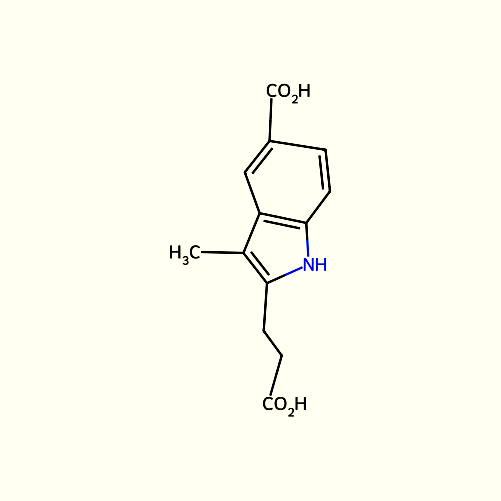 Cc1c(CCC(=O)O)[nH]c2ccc(C(=O)O)cc12